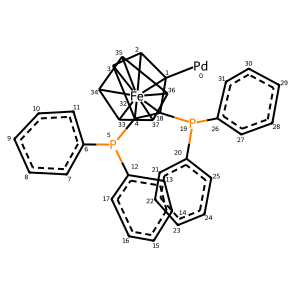 [Pd][C]12[CH]3[CH]4[C]5(P(c6ccccc6)c6ccccc6)[C]1(P(c1ccccc1)c1ccccc1)[Fe]34251678[CH]2[CH]1[CH]6[CH]7[CH]28